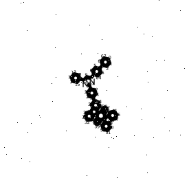 c1ccc(-c2ccc(-c3cc(-c4ccccc4)nc(-c4ccc(-c5ccc6c(c5)-c5ccccc5C65c6ccccc6C6(c7ccccc7-c7ccccc76)c6ccccc65)cc4)n3)cc2)cc1